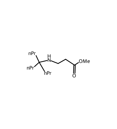 CCCC(CCC)(CCC)NCCC(=O)OC